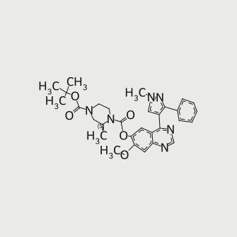 COc1cc2ncnc(-c3cn(C)nc3-c3ccccc3)c2cc1OC(=O)N1CCN(C(=O)OC(C)(C)C)C[C@@H]1C